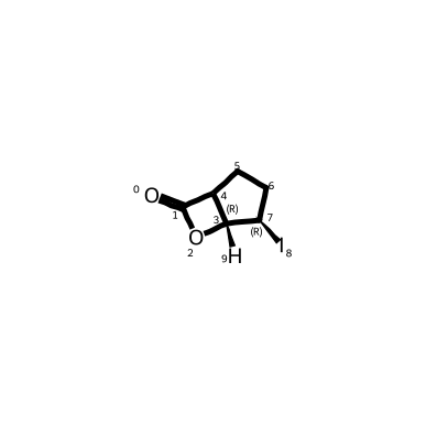 O=C1O[C@@H]2C1CC[C@H]2I